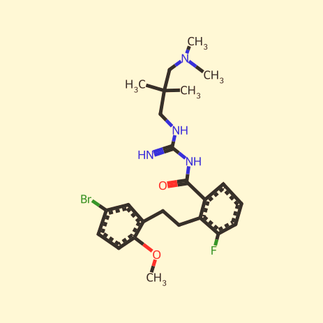 COc1ccc(Br)cc1CCc1c(F)cccc1C(=O)NC(=N)NCC(C)(C)CN(C)C